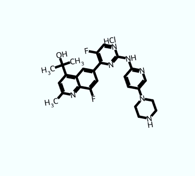 Cc1cc(C(C)(C)O)c2cc(-c3nc(Nc4ccc(N5CCNCC5)cn4)ncc3F)cc(F)c2n1.Cl